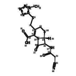 Cn1nnnc1SCC1=C(C(=O)O)N2C(=O)C(NC(=O)CC#N)[C@H]2SC1